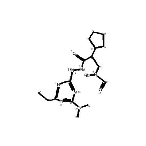 CCc1nc(NNC(=O)C(CN(O)C=O)C2CCCC2)nc(N(C)C)n1